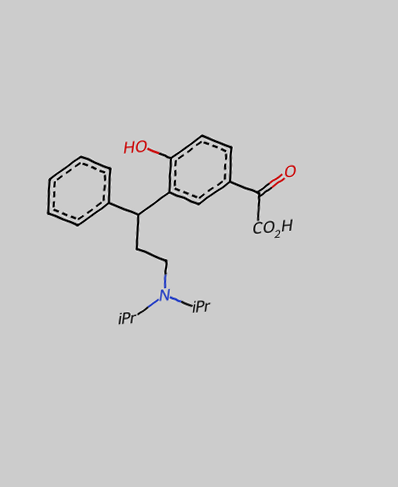 CC(C)N(CCC(c1ccccc1)c1cc(C(=O)C(=O)O)ccc1O)C(C)C